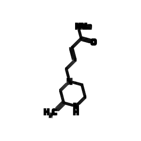 C=C1CN(C/C=C/C(=O)NC)CCN1